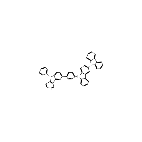 c1ccc(-n2c3ccncc3c3cc(-c4ccc(-n5c6ccccc6c6cc(-n7c8ccccc8c8ccccc87)ccc65)cc4)ccc32)cc1